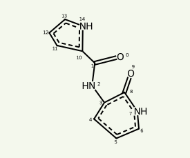 O=C(Nc1ccc[nH]c1=O)c1ccc[nH]1